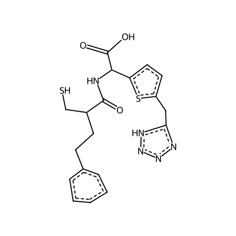 O=C(NC(C(=O)O)c1ccc(Cc2nnn[nH]2)s1)C(CS)CCc1ccccc1